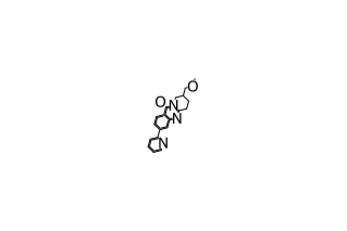 COCC1CCc2nc3cc(-c4ccccn4)ccc3c(=O)n2C1